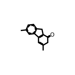 CC1=CC2=C(Cc3ccc(C)cc32)C(=O)C1